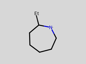 CCC1CCCCC[N]1